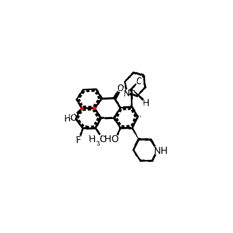 Cc1c(F)cccc1-c1c(O)c([C@@H]2CCCNC2)[c]c([C@H]2CC3CCN2CC3)c1C(=O)c1cccc(O)c1